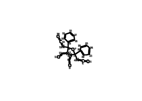 O=C=NC(N=C=O)(OC(N=C=O)(N=C=O)c1ccccc1)c1ccccc1